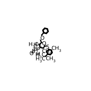 Cc1ccc(C(C)(C)C)cc1S[C@@H]1OC(COCc2ccccc2)[C@@H](C)[C@H](PBB=O)C1C